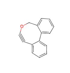 C1#Cc2ccccc2-c2ccccc2CO1